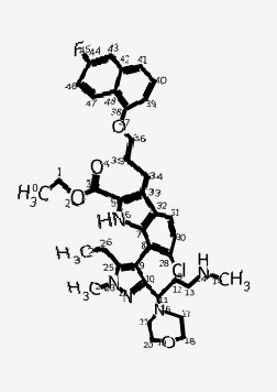 CCOC(=O)c1[nH]c2c(-c3c(C(CCNC)N4CCOCC4)nn(C)c3CC)c(Cl)ccc2c1CCCOc1cccc2cc(F)ccc12